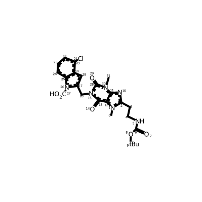 Cn1c(CCNC(=O)OC(C)(C)C)nc2c1c(=O)n(Cc1cc3c(Cl)cccc3n1C(=O)O)c(=O)n2C